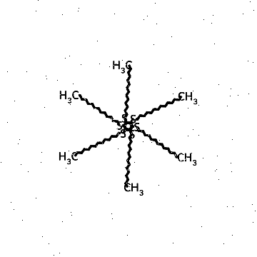 CCCCCCCCCCCCCCSc1c(SCCCCCCCCCCCCCC)c(SCCCCCCCCCCCCCC)c(SCCCCCCCCCCCCCC)c(SCCCCCCCCCCCCCC)c1SCCCCCCCCCCCCCC